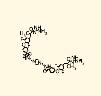 C/C(=C\c1cc(F)c(Oc2ccc([S+]([O-])NCCN3CCN(CCNS(=O)(=O)c4ccc(Oc5c(F)cc(/C=C(\C)C(=O)N=C(N)N)cc5F)cc4)CC3)cc2)c(F)c1)C(=O)N=C(N)N